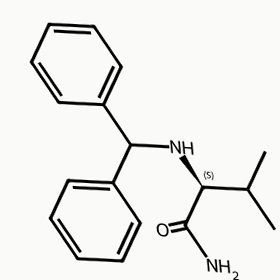 CC(C)[C@H](NC(c1ccccc1)c1ccccc1)C(N)=O